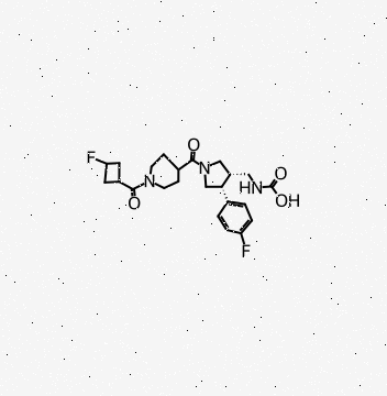 O=C(O)NC[C@H]1CN(C(=O)C2CCN(C(=O)C3CC(F)C3)CC2)C[C@H]1c1ccc(F)cc1